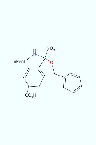 CCCCCNC(OCc1ccccc1)(c1ccc(C(=O)O)cc1)[N+](=O)[O-]